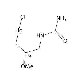 CO[C@@H](CNC(N)=O)[CH2][Hg][Cl]